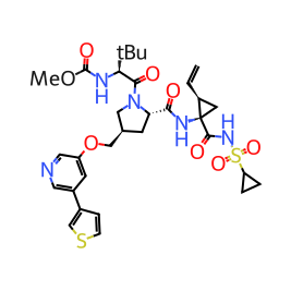 C=C[C@H]1C[C@]1(NC(=O)[C@@H]1C[C@@H](COc2cncc(-c3ccsc3)c2)CN1C(=O)[C@@H](NC(=O)OC)C(C)(C)C)C(=O)NS(=O)(=O)C1CC1